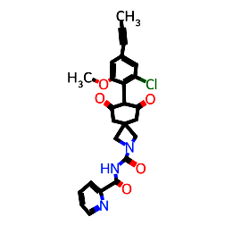 CC#Cc1cc(Cl)c(C2C(=O)CC3(CC2=O)CN(C(=O)NC(=O)c2ccccn2)C3)c(OC)c1